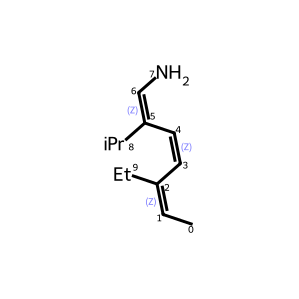 C\C=C(/C=C\C(=C/N)C(C)C)CC